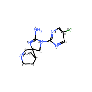 NC1=NC2(CN3CCC2CC3)CN1c1ncc(Cl)cn1